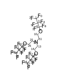 FC(F)C(F)(F)C(F)(F)OCCN(CCOC(F)(F)C(F)(F)C(F)F)CCOC(F)(F)C(F)(F)C(F)F